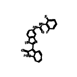 O=C(Nc1ccc2[nH]c(-c3c4cccccc-4[nH]c3=O)nc2c1)Nc1c(F)cccc1F